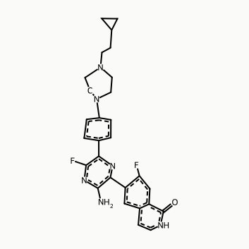 Nc1nc(F)c(-c2ccc(N3CCN(CCC4CC4)CC3)cc2)nc1-c1cc2cc[nH]c(=O)c2cc1F